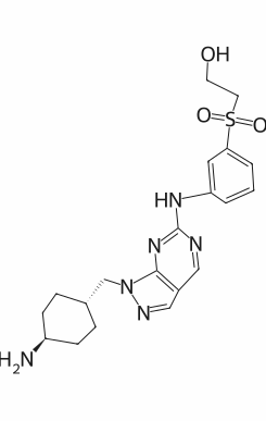 N[C@H]1CC[C@H](Cn2ncc3cnc(Nc4cccc(S(=O)(=O)CCO)c4)nc32)CC1